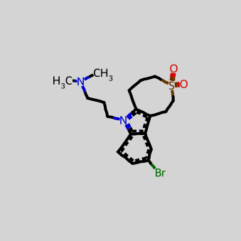 CN(C)CCCn1c2c(c3cc(Br)ccc31)CCS(=O)(=O)CCC2